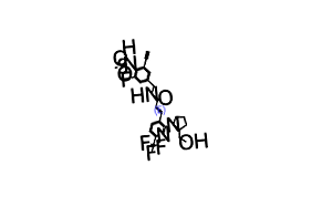 C#Cc1cc(CNC(=O)/C=C/c2ccc(C(F)(F)F)nc2N2CCCC2CO)cc(F)c1NS(C)(=O)=O